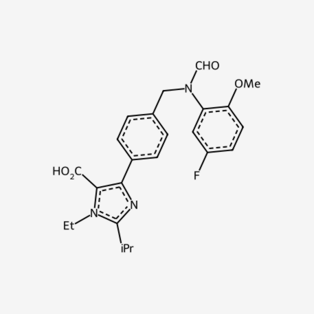 CCn1c(C(C)C)nc(-c2ccc(CN(C=O)c3cc(F)ccc3OC)cc2)c1C(=O)O